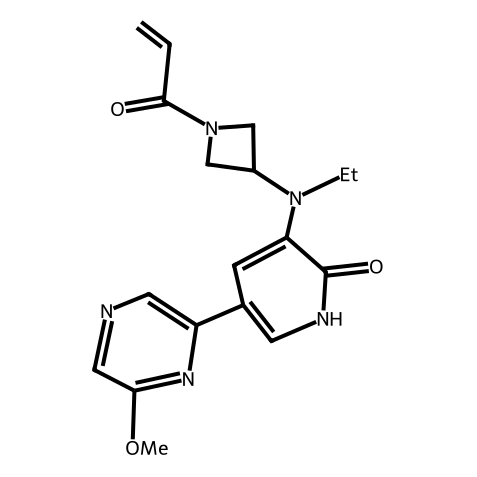 C=CC(=O)N1CC(N(CC)c2cc(-c3cncc(OC)n3)c[nH]c2=O)C1